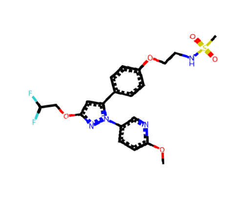 COc1ccc(-n2nc(OCC(F)F)cc2-c2ccc(OCCNS(C)(=O)=O)cc2)cn1